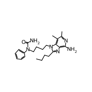 CCCCc1nc2c(N)nc(C)c(C)c2n1CCCCN(C(N)=O)c1ccccc1